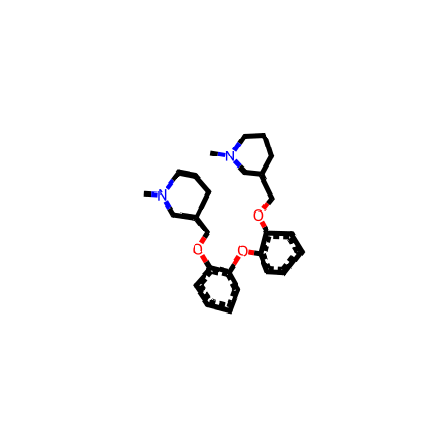 CN1CCCC(COc2ccccc2Oc2ccccc2OCC2CCCN(C)C2)C1